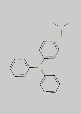 [Cl][Sb]([Cl])[Cl].c1ccc([S+](c2ccccc2)c2ccccc2)cc1